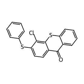 O=c1c2ccccc2sc2c(Cl)c(Sc3ccccc3)ccc12